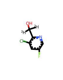 [2H]C([2H])(O)c1ncc(F)cc1Cl